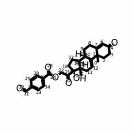 CC12CCC(=O)C=C1CC[C@@H]1C2=CCC2(C)[C@H]1CC[C@]2(O)C(=O)COC(=O)c1ccc(C=O)cc1